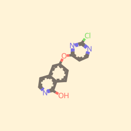 Oc1nccc2cc(Oc3ccnc(Cl)n3)ccc12